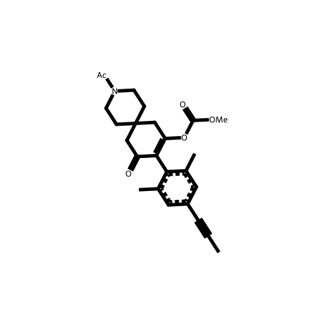 CC#Cc1cc(C)c(C2=C(OC(=O)OC)CC3(CCN(C(C)=O)CC3)CC2=O)c(C)c1